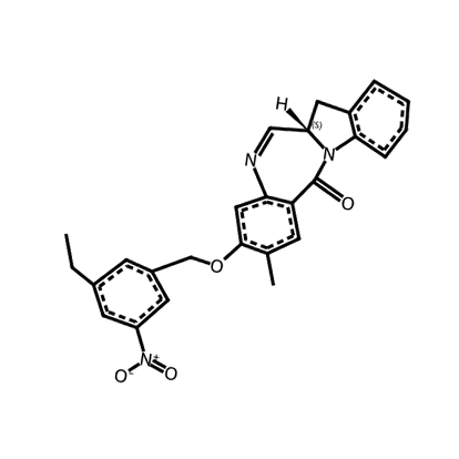 CCc1cc(COc2cc3c(cc2C)C(=O)N2c4ccccc4C[C@H]2C=N3)cc([N+](=O)[O-])c1